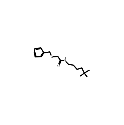 CC(C)(C)CCCCNC(=O)COCc1ccccc1